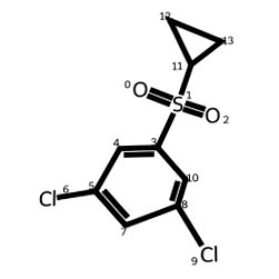 O=S(=O)(c1cc(Cl)cc(Cl)c1)C1CC1